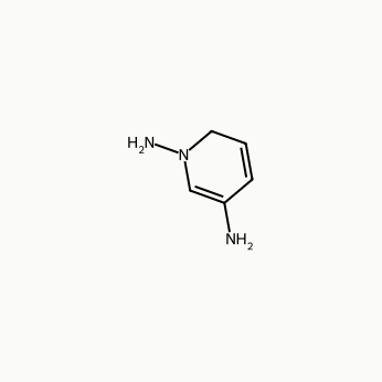 NC1=CN(N)CC=C1